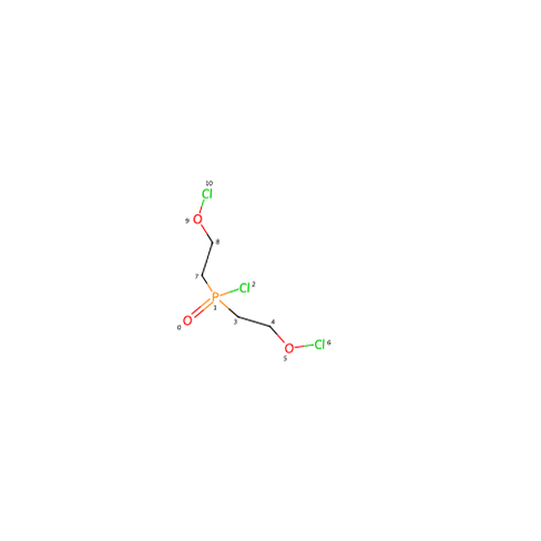 O=P(Cl)(CCOCl)CCOCl